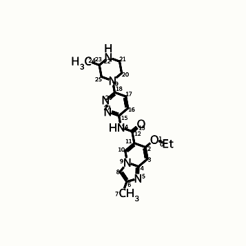 CCOc1cc2nc(C)cn2cc1C(=O)Nc1ccc(N2CCNC(C)C2)nn1